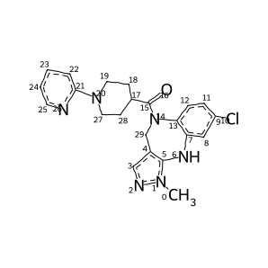 Cn1ncc2c1Nc1cc(Cl)ccc1N(C(=O)C1CCN(c3ccccn3)CC1)C2